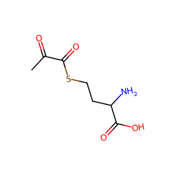 CC(=O)C(=O)SCCC(N)C(=O)O